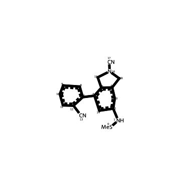 CSNc1cc2c(c(-c3ccccc3C#N)c1)CN(C#N)C2